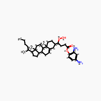 CC(C)CCCC(C)C1CCC2C3CC=C4CC(C(CCC(=O)Oc5ccc(N)cc5N)OO)CCC4(C)C3CCC12C